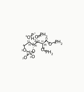 O=S1(=O)OC[C@H](OP)[C@H]([C@H](OP)[C@@H](COP)OP)O1